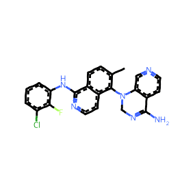 Cc1ccc2c(Nc3cccc(Cl)c3F)nccc2c1N1CN=C(N)c2ccncc21